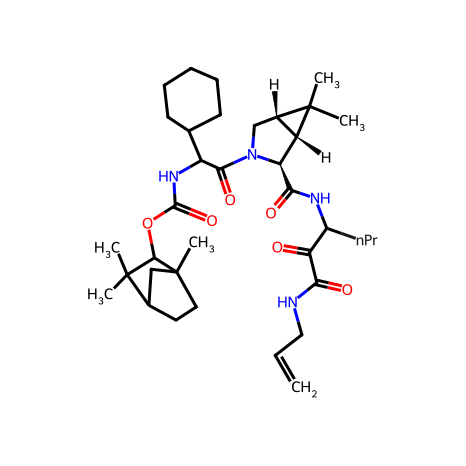 C=CCNC(=O)C(=O)C(CCC)NC(=O)[C@@H]1[C@@H]2[C@H](CN1C(=O)C(NC(=O)OC1C3(C)CCC(C3)C1(C)C)C1CCCCC1)C2(C)C